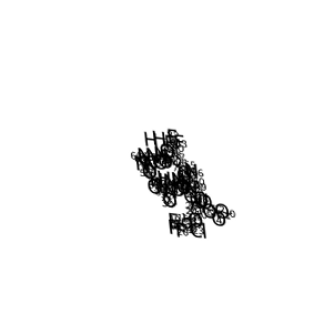 CCOC(=O)COC(=O)c1cc(Oc2ccc(C(F)(F)F)cc2Cl)ccc1[N+](=O)[O-].COc1cc(OC)nc(NC(=O)NS(=O)(=O)c2ncccc2C(=O)N(C)C)n1.COc1nc(C)nc(NC(=O)NS(=O)(=O)c2ccccc2CCC(F)(F)F)n1